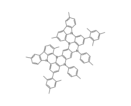 Cc1ccc(N2c3cc4c(cc3B3c5c2cc(-c2c(C)cc(C)cc2C)cc5-n2c5ccc(C)cc5c5cc(C)cc3c52)B2c3c(cc(-c5c(C)cc(C)cc5C)cc3-n3c5ccc(C)cc5c5ccc(C)c2c53)N4c2ccc(C)cc2)cc1